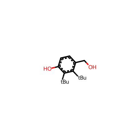 CC(C)(C)c1c(O)ccc(CO)c1C(C)(C)C